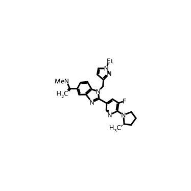 C=C(NC)c1ccc2c(c1)nc(-c1cnc(N3CCC[C@@H]3C)c(F)c1)n2Cc1ccn(CC)n1